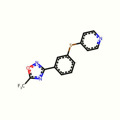 FC(F)(F)c1nc(-c2cc[c]c(Sc3ccncc3)c2)no1